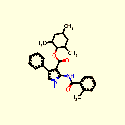 Cc1ccccc1C(=O)Nc1[nH]cc(-c2ccccc2)c1C(=O)OC1C(C)CC(C)CC1C